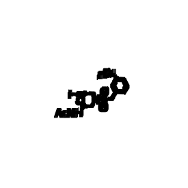 CCCCc1cccc(CS(=O)(=O)N(CC#CI)CC(=O)NC(C)=O)c1